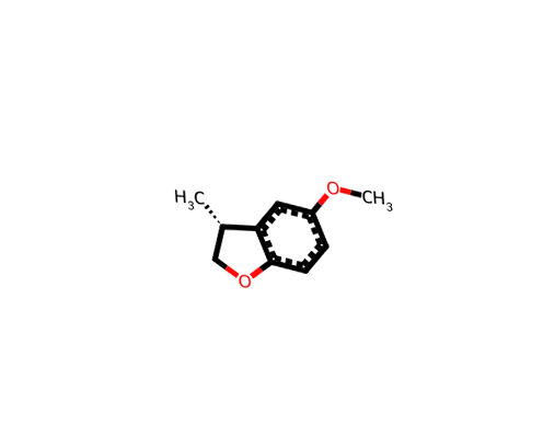 COc1ccc2c(c1)[C@@H](C)CO2